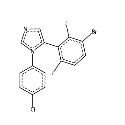 Clc1ccc(-n2cncc2-c2c(I)ccc(Br)c2I)cc1